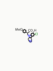 COc1ccc(C(CC(=O)O)Cn2c3c(c4cc(Cl)ccc42)C2CCC(C3)N2C)cc1